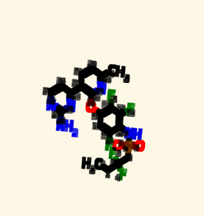 CCC(F)(F)CS(=O)(=O)Nc1c(F)cc(Oc2nc(C)ccc2-c2ccnc(N)n2)c(F)c1F